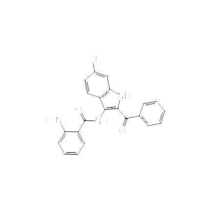 O=C(Nc1c(C(=O)c2ccccc2)[nH]c2cc(Cl)ccc12)c1ccccc1[N+](=O)[O-]